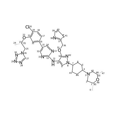 C[C@@H]1CN(C2CCC(n3cc(Nc4ncc(-c5ccc(Cl)c(O[C@@H](C)Cn6cnnn6)c5)cn4)c(OCc4nccs4)n3)CC2)C[C@H](C)O1